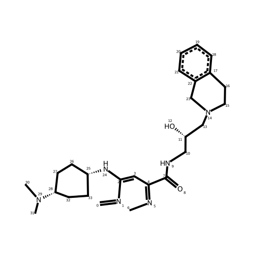 C=N/C(=C\C(=N/C)C(=O)NC[C@H](O)CN1CCc2ccccc2C1)N[C@H]1CC[C@@H](N(C)C)CC1